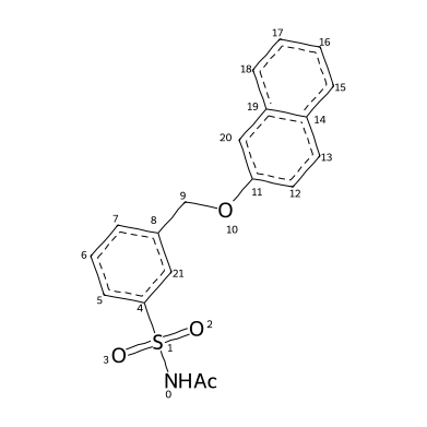 CC(=O)NS(=O)(=O)c1cccc(COc2ccc3ccccc3c2)c1